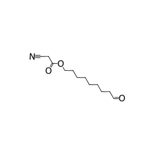 N#CCC(=O)OCCCCCCCCC=O